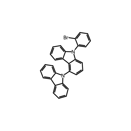 Brc1ccccc1-n1c2ccccc2c2c(-n3c4ccccc4c4ccccc43)cccc21